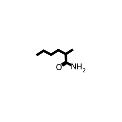 CCCCC(C)C(N)=O